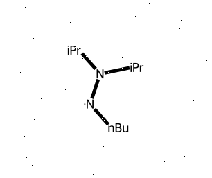 CCCC[N]N(C(C)C)C(C)C